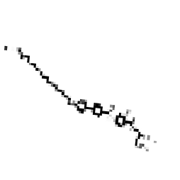 CCCCCCCCCCCCCCCCOc1ccc(-c2ccc(C(=O)Oc3ccc(C(=O)OCC(C)CC)c(F)c3)cc2)cc1